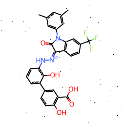 Cc1cc(C)cc(N2C(=O)/C(=N\Nc3cccc(-c4ccc(O)c(C(=O)O)c4)c3O)c3ccc(C(F)(F)F)cc32)c1